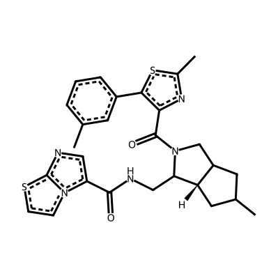 Cc1cccc(-c2sc(C)nc2C(=O)N2CC3CC(C)C[C@@H]3C2CNC(=O)c2cnc3sccn23)c1